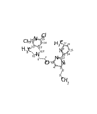 CCCc1cc(OCCN(CC)Cc2cc(Cl)nc(Cl)c2)nc(-c2cccc(C)n2)n1